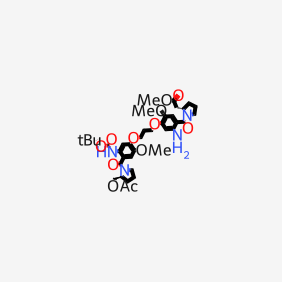 COC(=O)C[C@@H]1CCCN1C(=O)c1cc(OC)c(OCCCOc2cc(NC(=O)OC(C)(C)C)c(C(=O)N3CCC[C@H]3COC(C)=O)cc2OC)cc1N